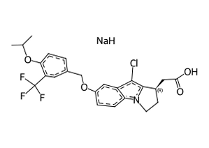 CC(C)Oc1ccc(COc2ccc3c(c2)c(Cl)c2n3CC[C@@H]2CC(=O)O)cc1C(F)(F)F.[NaH]